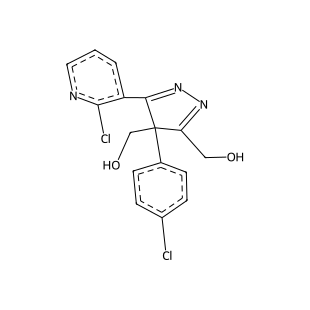 OCC1=NN=C(c2cccnc2Cl)C1(CO)c1ccc(Cl)cc1